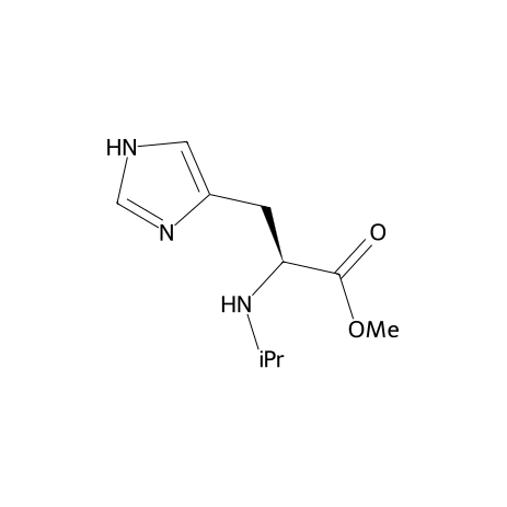 COC(=O)[C@H](Cc1c[nH]cn1)NC(C)C